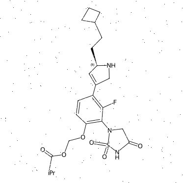 CC(C)C(=O)OCOc1ccc(C2=C[C@@H](CCC3CCC3)NC2)c(F)c1N1CC(=O)NS1(=O)=O